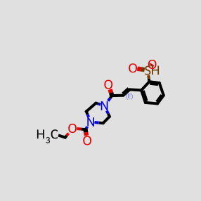 CCOC(=O)N1CCN(C(=O)/C=C/c2ccccc2[SH](=O)=O)CC1